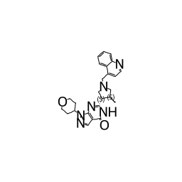 C[C@@H]1CN(Cc2ccnc3ccccc23)C[C@H]1c1nc2c(cnn2C2CCOCC2)c(=O)[nH]1